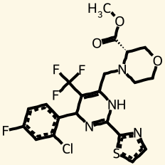 COC(=O)[C@@H]1COCCN1CC1=C(C(F)(F)F)C(c2ccc(F)cc2Cl)N=C(c2nccs2)N1